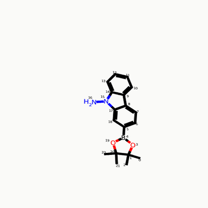 CC1(C)OB(c2ccc3c4ccccc4n(N)c3c2)OC1(C)C